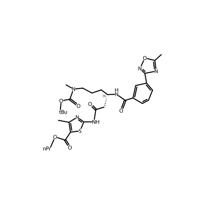 CCCOC(=O)c1sc(NC(=O)C[C@H](CCCN(C)C(=O)OC(C)(C)C)NC(=O)c2cccc(-c3noc(C)n3)c2)nc1C